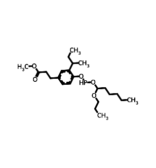 CCCCCC(OCCC)OPOc1ccc(CCC(=O)OC)cc1C(C)CC